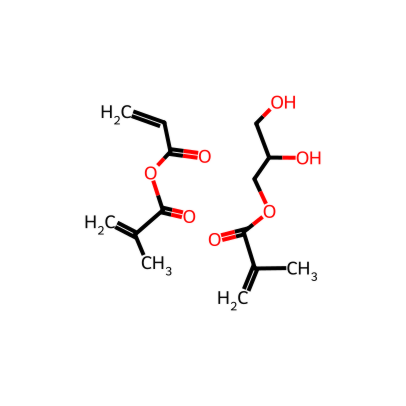 C=C(C)C(=O)OCC(O)CO.C=CC(=O)OC(=O)C(=C)C